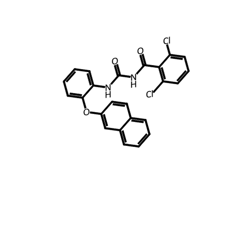 O=C(NC(=O)c1c(Cl)cccc1Cl)Nc1ccccc1Oc1ccc2ccccc2c1